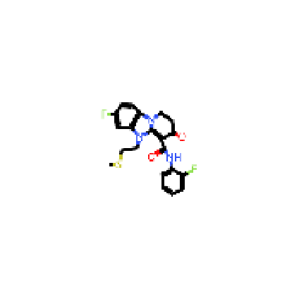 CSCCN1C2=C(C(=O)Nc3ccccc3F)C(=O)CCN2c2ccc(F)cc21